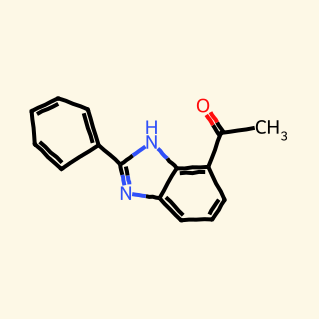 CC(=O)c1cccc2nc(-c3ccccc3)[nH]c12